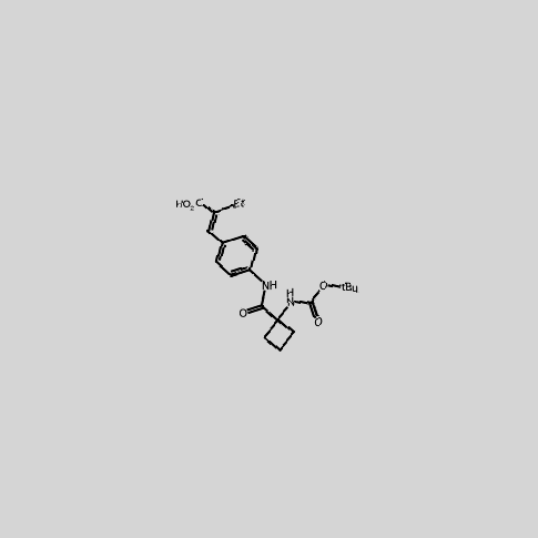 CC/C(=C\c1ccc(NC(=O)C2(NC(=O)OC(C)(C)C)CCC2)cc1)C(=O)O